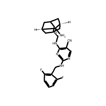 N#Cc1cnc(NCc2c(F)cccc2F)nc1NC[C@]12CC3C[C@H](C1)[C@@H](N)[C@@H](C3)C2